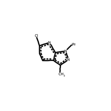 Cc1nn(C(C)C)c2nc(Cl)ccc12